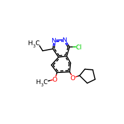 CCc1nnc(Cl)c2cc(OC3CCCC3)c(OC)cc12